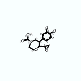 O=C(O)N1CCOC(C2CO2)C(c2ccc(Cl)c(Cl)c2)C1